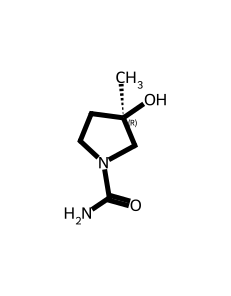 C[C@@]1(O)CCN(C(N)=O)C1